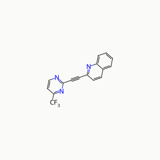 FC(F)(F)c1ccnc(C#Cc2ccc3ccccc3n2)n1